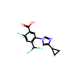 O=C(O)c1cc(-n2cnc(C3CC3)c2)c(C(F)F)cc1F